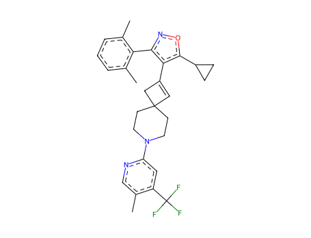 Cc1cnc(N2CCC3(C=C(c4c(-c5c(C)cccc5C)noc4C4CC4)C3)CC2)cc1C(F)(F)F